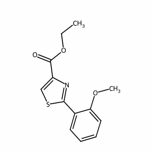 CCOC(=O)c1csc(-c2ccccc2OC)n1